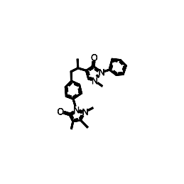 Cc1c(C)n(C)n(-c2ccc(CC(C)c3cn(C)n(-c4ccccc4)c3=O)cc2)c1=O